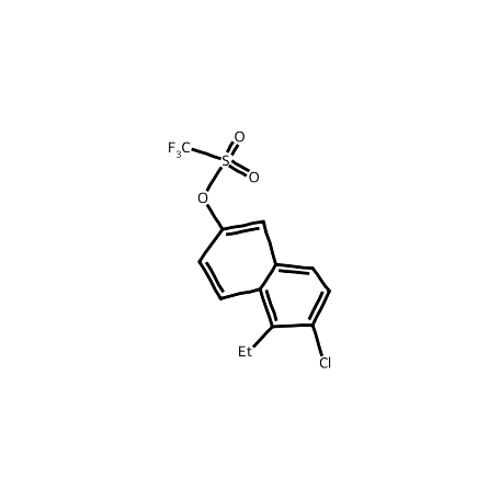 [CH2]Cc1c(Cl)ccc2cc(OS(=O)(=O)C(F)(F)F)ccc12